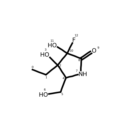 CCC1(O)C(CO)NC(=O)C1(O)F